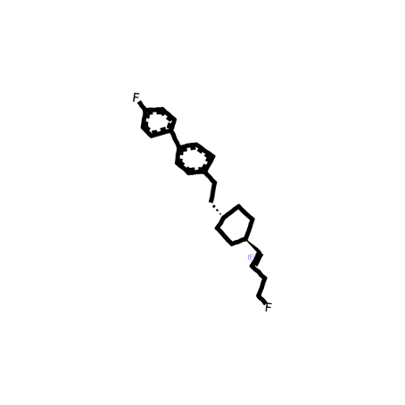 FCC/C=C/[C@H]1CC[C@H](CCc2ccc(-c3ccc(F)cc3)cc2)CC1